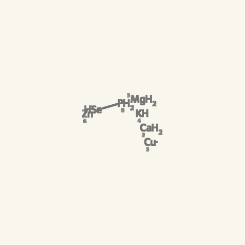 P[SeH].[CaH2].[Cu].[KH].[MgH2].[Zn]